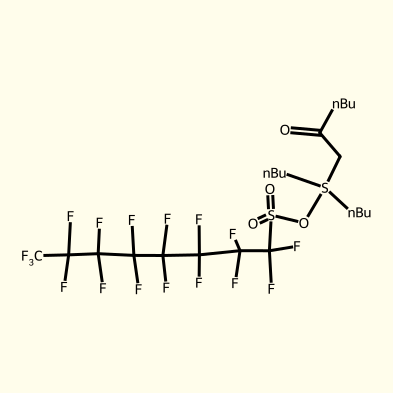 CCCCC(=O)CS(CCCC)(CCCC)OS(=O)(=O)C(F)(F)C(F)(F)C(F)(F)C(F)(F)C(F)(F)C(F)(F)C(F)(F)C(F)(F)F